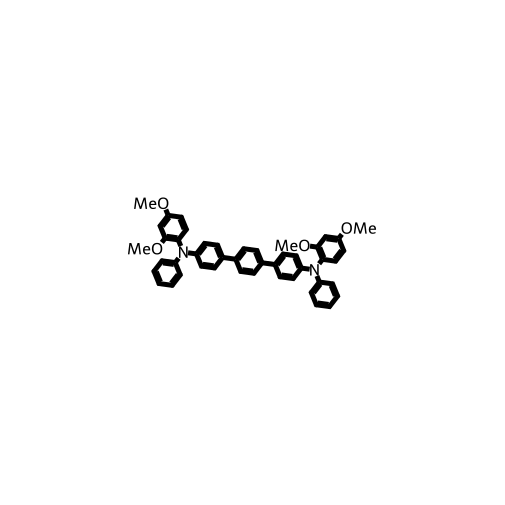 COc1ccc(N(c2ccccc2)c2ccc(-c3ccc(-c4ccc(N(c5ccccc5)c5ccc(OC)cc5OC)cc4)cc3)cc2)c(OC)c1